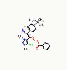 C/N=C\C(=C(\OCOC(=O)c1ccccc1)c1c(Cl)c(C)nn1C)c1ccc(C(C)(C)C)cc1